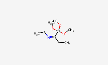 CCN=C(CC)[Si](OC)(OC)OC